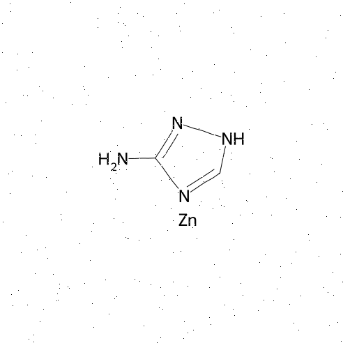 Nc1nc[nH]n1.[Zn]